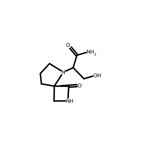 NC(=O)C(CO)N1CCCC12CNC2=O